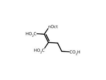 CCCCCCCCC(C(=O)O)=C(CCC(=O)O)C(=O)O